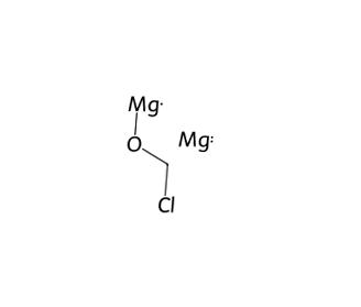 [Mg].[Mg][O]CCl